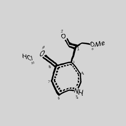 COC(=O)c1c[nH]ccc1=O.Cl